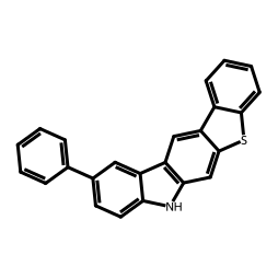 c1ccc(-c2ccc3[nH]c4cc5sc6ccccc6c5cc4c3c2)cc1